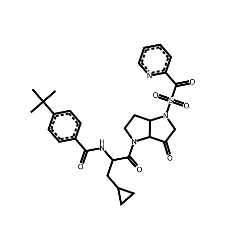 CC(C)(C)c1ccc(C(=O)NC(CC2CC2)C(=O)N2CCC3C2C(=O)CN3S(=O)(=O)C(=O)c2ccccn2)cc1